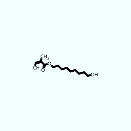 CC=C(C)C(=O)OCCCCCCCCCO